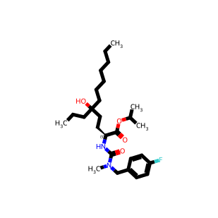 CCCCCCCC(O)(CCC)CC[C@H](NC(=O)N(C)Cc1ccc(F)cc1)C(=O)OC(C)C